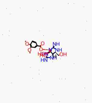 COc1ccc(C(=O)O[C@H]2CN3C(=N)N[C@@H](CO)[C@@H]4NC(=N)N[C@@]43C2(O)O)cc1OC